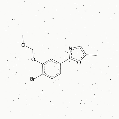 COCOc1cc(-c2ncc(C)o2)ccc1Br